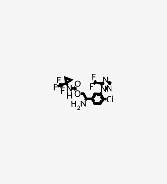 NC(COC(=O)NC1(C(F)(F)F)CC1)c1ccc(Cl)c(-n2ncnc2C(F)F)c1